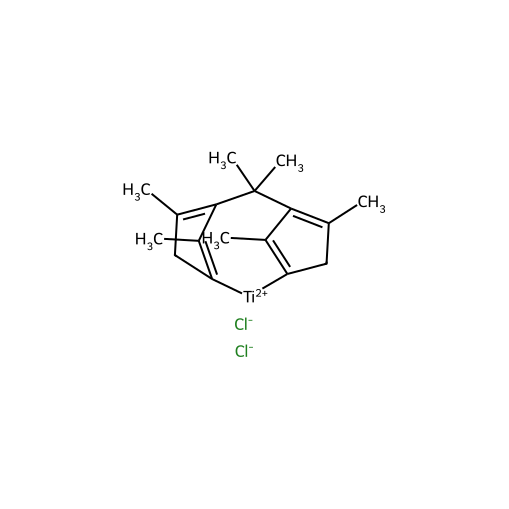 CC1=C2C(C)=[C](C1)[Ti+2][C]1=C(C)C(=C(C)C1)C2(C)C.[Cl-].[Cl-]